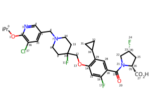 CC(C)Oc1ncc(CN2CCC(F)(COc3cc(F)c(C(=O)N4C[C@H](F)C[C@H]4C(=O)O)cc3C3CC3)CC2)cc1Cl